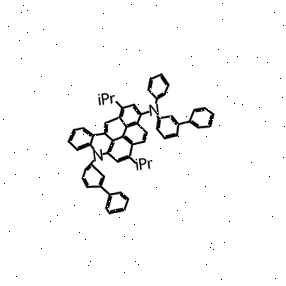 CC(C)c1cc(N(c2ccccc2)c2cccc(-c3ccccc3)c2)c2ccc3c(C(C)C)cc4c5c(cc1c2c35)-c1ccccc1N4c1cccc(-c2ccccc2)c1